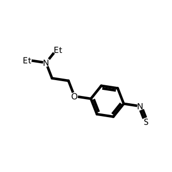 CCN(CC)CCOc1ccc(N=S)cc1